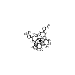 CCOc1ccc2c(c1)-c1cc(OCC)cc(OCC)c1[Si]2(c1ccccc1)c1ccccc1